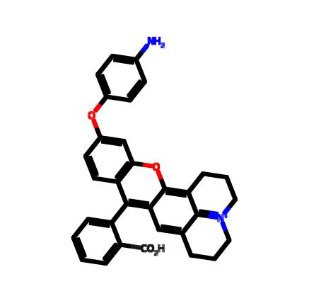 Nc1ccc(Oc2ccc3c(c2)Oc2c4c5c(cc2=C3c2ccccc2C(=O)O)CCC[N+]=5CCC4)cc1